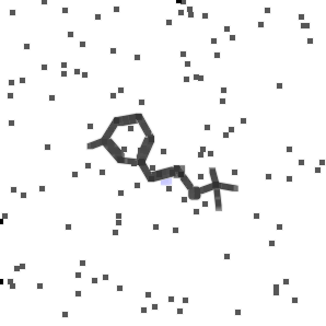 Cc1cccc(/C=N/OC(C)(C)C)c1